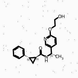 C[C@H](NC(=O)[C@H]1C[C@@H]1c1ccccc1)c1ccc(OCCO)nc1